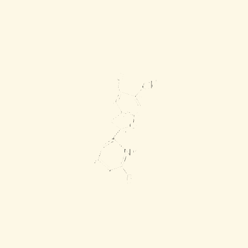 Clc1cc2c(cc1Cl)OC(c1cccc(Br)n1)C2